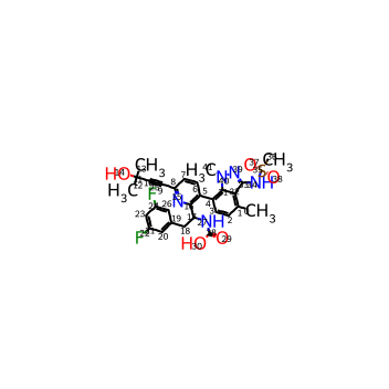 Cc1ccc(-c2ccc(C#CC(C)(C)O)nc2C(Cc2cc(F)cc(F)c2)NC(=O)O)c2c1c(NS(C)(=O)=O)nn2C